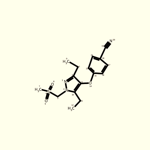 CCc1nn(CS(C)(=O)=O)c(CC)c1Oc1ccc(C#N)cc1